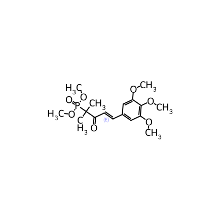 COc1cc(/C=C/C(=O)C(C)(C)P(=O)(OC)OC)cc(OC)c1OC